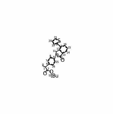 CC(C(=O)OC(C)(C)C)c1ccc(N2Cc3c(cccc3-c3cccs3)C2=O)cc1